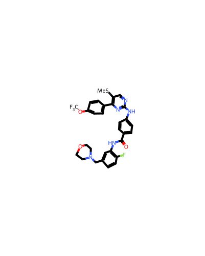 CSc1cnc(Nc2ccc(C(=O)Nc3cc(CN4CCOCC4)ccc3F)cc2)nc1-c1ccc(OC(F)(F)F)cc1